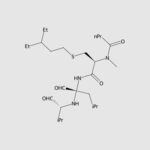 CCCC(=O)N(C)[C@H](CSCCC(CC)CC)C(=O)N[C@](C=O)(CC(C)C)N[C@@H](C=O)C(C)C